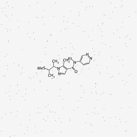 CCN(C(=O)c1cnn(C(C)C(C)SC)c1C)c1ccnnc1